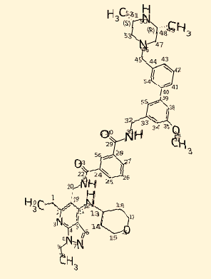 CCc1nc2c(cnn2CC)c(NC2CCOCC2)c1CNC(=O)c1cccc(C(=O)NCc2cc(OC)cc(-c3cccc(CN4C[C@@H](C)N[C@@H](C)C4)c3)c2)c1